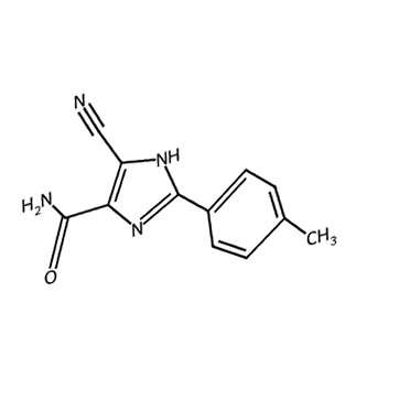 Cc1ccc(-c2nc(C(N)=O)c(C#N)[nH]2)cc1